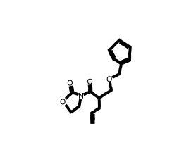 C=CCC(COCc1ccccc1)C(=O)N1CCOC1=O